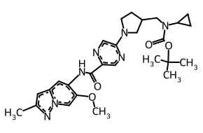 COc1cn2nc(C)cc2cc1NC(=O)c1cnc(N2CCC(CN(C(=O)OC(C)(C)C)C3CC3)C2)cn1